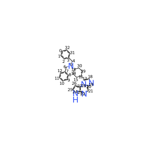 c1ccc(CN(Cc2ccccc2)[C@H]2CC[C@@H](c3cnc4cnc5[nH]ccc5n43)CC2)cc1